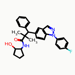 CC(C)(C(=O)NC1CCCC1O)C(c1ccccc1)c1ccc2c(cnn2-c2ccc(F)cc2)c1